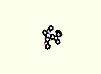 c1ccc2c(c1)-c1ccc(-n3c4ccccc4c4cccc(-c5ccc6c(c5)oc5ccccc56)c43)cc1C21C2CC3CC(C2)CC1C3